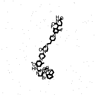 COc1cc(N2CCC(N3CCN(CCC4CCN(c5cc(F)c(C6CCC(=O)NC6=O)c(F)c5)CC4)CC3=O)CC2)c(C)cc1Nc1ncc(Br)c(N2c3cccc4c3N(CC4)S2(=O)=O)n1